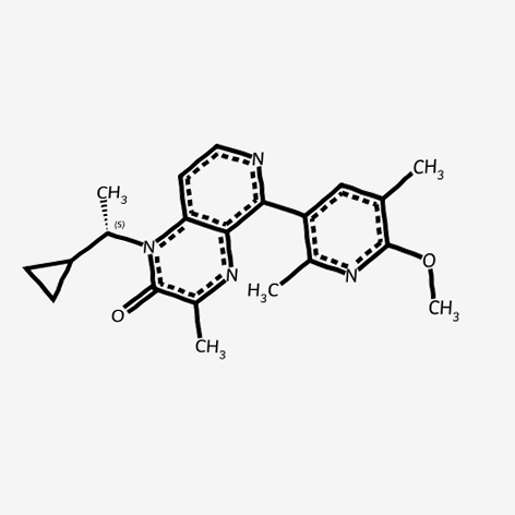 COc1nc(C)c(-c2nccc3c2nc(C)c(=O)n3[C@@H](C)C2CC2)cc1C